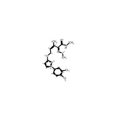 CNC(=O)C(=NOC)C(C)=CCOc1ccn(-c2ccc(Cl)c(Cl)c2)n1